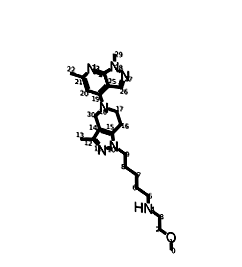 COCCNCCCCCn1nc(C)c2c1CCN(c1cc(C)nc3c1cnn3C)C2